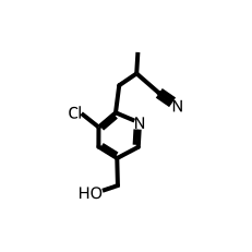 CC(C#N)Cc1ncc(CO)cc1Cl